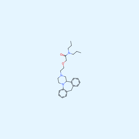 CCCN(CCC)C(=O)COCCN1CCN2c3ccccc3Cc3ccccc3C2C1